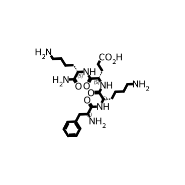 NCCCC[C@H](NC(=O)[C@H](CCC(=O)O)NC(=O)[C@H](CCCCN)NC(=O)[C@@H](N)Cc1ccccc1)C(N)=O